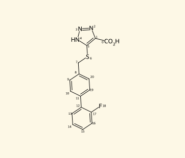 O=C(O)c1nn[nH]c1SCc1ccc(-c2ccccc2F)cc1